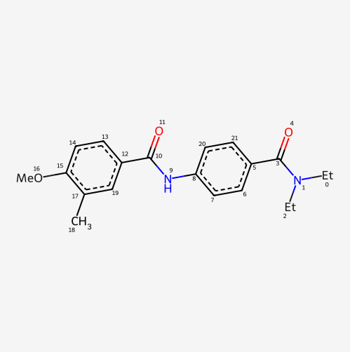 CCN(CC)C(=O)c1ccc(NC(=O)c2ccc(OC)c(C)c2)cc1